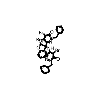 O=C(O)C(Nc1cnn(Cc2ccccc2)c(=O)c1Br)(c1ccccc1)c1nn(Cc2ccccc2)c(=O)c(Br)c1Br